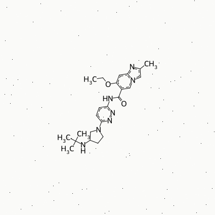 CCOc1cc2nc(C)cn2cc1C(=O)Nc1ccc(N2CCC(NC(C)(C)C)C2)nn1